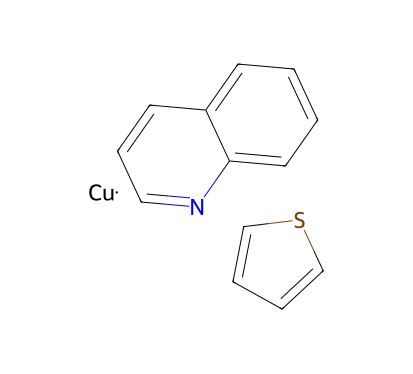 [Cu].c1ccc2ncccc2c1.c1ccsc1